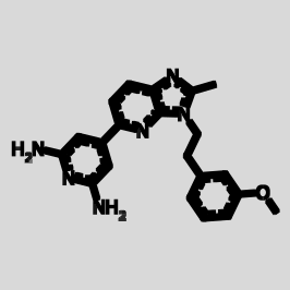 COc1cccc(CCn2c(C)nc3ccc(-c4cc(N)nc(N)c4)nc32)c1